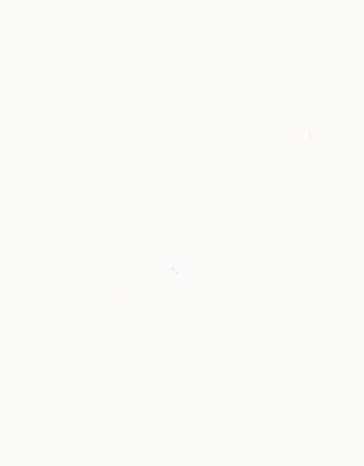 CC(C)(C)OC(=O)NC1=Cc2cc(O)ccc2C1